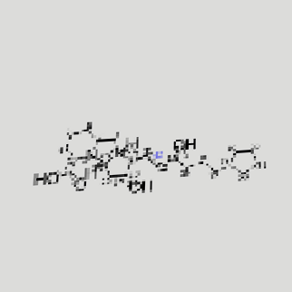 O=C(O)C1CCCC2C[C@@H]3[C@@H](/C=C/[C@H](O)CCCC4CCCC4)[C@H](O)C[C@H]3N21